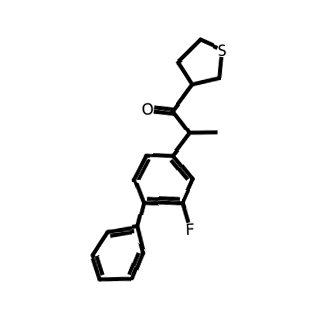 CC(C(=O)C1CCSC1)c1ccc(-c2ccccc2)c(F)c1